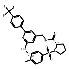 CNc1cc(CNC(=O)[C@@H]2CCCN2S(=O)(=O)c2ccc(F)cc2)cc(-c2ccc(C(F)(F)F)cc2)n1